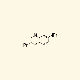 CC(C)c1cnc2cc(C(C)C)ccc2c1